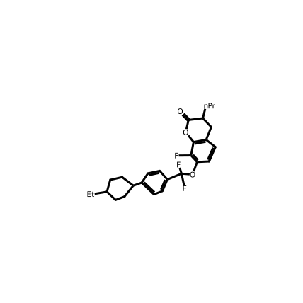 CCCC1Cc2ccc(OC(F)(F)c3ccc(C4CCC(CC)CC4)cc3)c(F)c2OC1=O